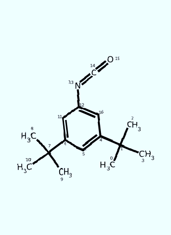 CC(C)(C)c1[c]c(C(C)(C)C)cc(N=C=O)c1